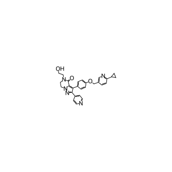 O=C1c2c(-c3ccc(OCc4ccc(C5CC5)nc4)cc3)c(-c3ccncc3)nn2CCN1CCO